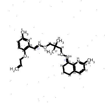 C=CCOc1ccc(C)nc1/C=N/OCC(C)(C)CO/N=C1\CCCc2ccc(C)nc21